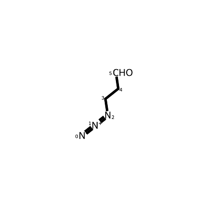 [N-]=[N+]=NCCC=O